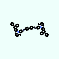 CCc1cccc(C)c1N(c1ccc(C=C(c2ccccc2)c2ccccc2)cc1)c1ccc(/C=C/c2ccc(-c3ccc(/C=C/c4ccc(N(c5ccc(C=C(c6ccccc6)c6ccccc6)cc5)c5c(C)cccc5CC)cc4)cc3)cc2)cc1